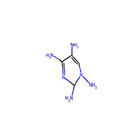 NC1=CN(N)C(N)N=C1N